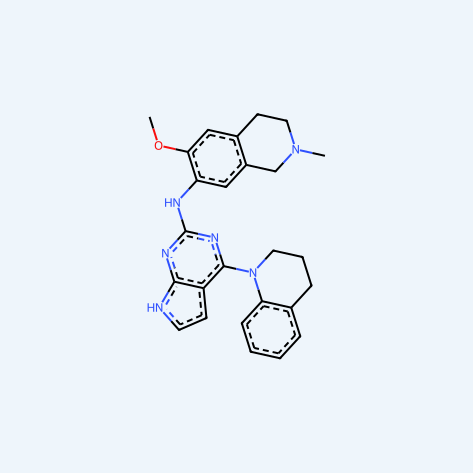 COc1cc2c(cc1Nc1nc(N3CCCc4ccccc43)c3cc[nH]c3n1)CN(C)CC2